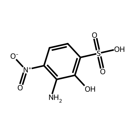 Nc1c([N+](=O)[O-])ccc(S(=O)(=O)O)c1O